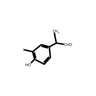 CC([C]=O)c1ccc(O)c(I)c1